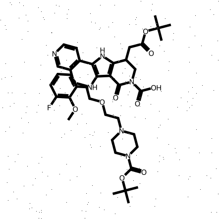 COc1c(F)cccc1Nc1c(-c2ccncc2OCCOCCN2CCN(C(=O)OC(C)(C)C)CC2)[nH]c2c1C(=O)N(C(=O)O)CC2CC(=O)OC(C)(C)C